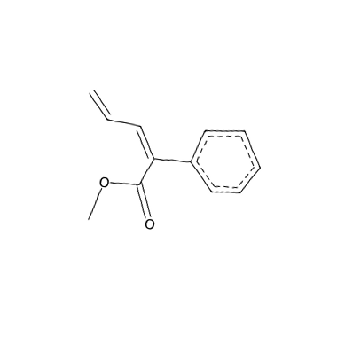 C=CC=C(C(=O)OC)c1ccccc1